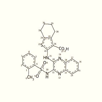 Cc1ccccc1S(=O)(=O)Nc1nc2ccccc2nc1Nc1sc2c(c1C(=O)O)CCCC2